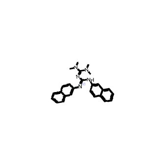 CN(C)C(=N/C(=N\c1ccc2ccccc2c1)Nc1ccc2ccccc2c1)N(C)C